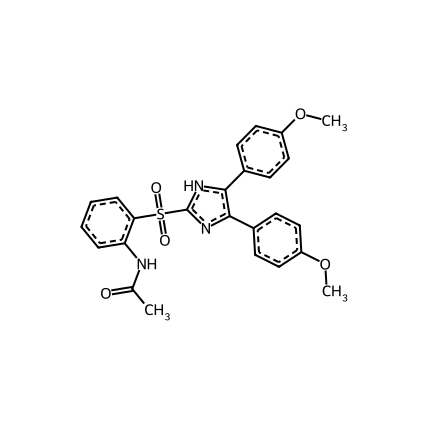 COc1ccc(-c2nc(S(=O)(=O)c3ccccc3NC(C)=O)[nH]c2-c2ccc(OC)cc2)cc1